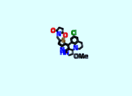 CO[C@@H]1CNC[C@H]1N1CCCc2cc(Cl)cc(-c3ccnc4cc(CN5C(=O)CCC5=O)sc34)c21